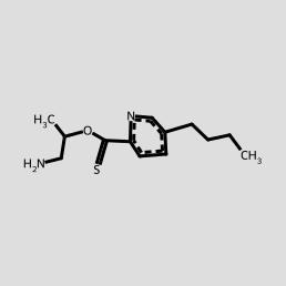 CCCCc1ccc(C(=S)OC(C)CN)nc1